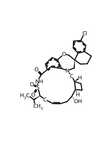 CC(C)[C@@H]1CC=CC[C@@H](O)[C@@H]2CC[C@H]2CN2C[C@@]3(CCCc4cc(Cl)ccc43)COc3ccc(cc32)C(=O)NS1(=O)=O